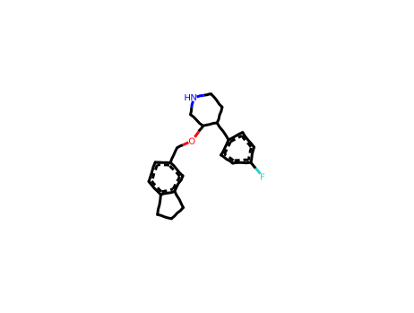 Fc1ccc(C2CCNCC2OCc2ccc3c(c2)CCC3)cc1